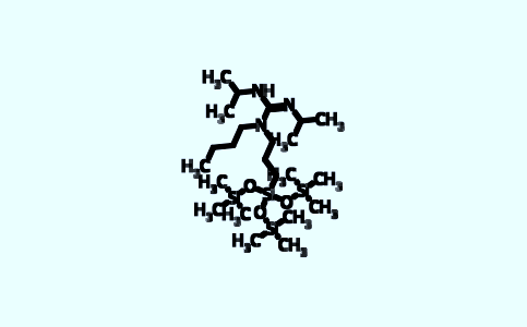 CCCCN(CCC[Si](O[Si](C)(C)C)(O[Si](C)(C)C)O[Si](C)(C)C)/C(=N\C(C)C)NC(C)C